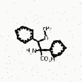 CCCOC(c1ccccc1)C(N)(C(=O)O)c1ccccc1